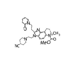 COC(=O)N1c2ccc3c(nc(CCn4ccccc4=O)n3CCN3CCC(C#N)CC3)c2CC[C@@H]1C